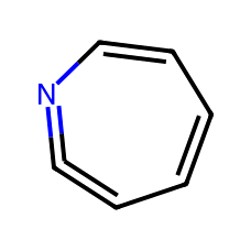 C1=CC=CC=CN=1